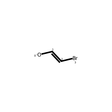 [O]/C=C/Br